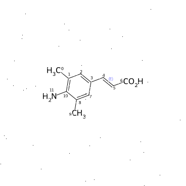 Cc1cc(/C=C/C(=O)O)cc(C)c1N